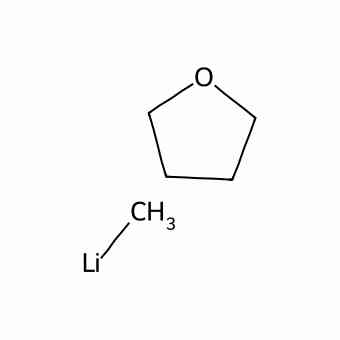 C1CCOC1.[Li][CH3]